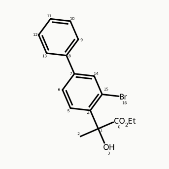 CCOC(=O)C(C)(O)c1ccc(-c2ccccc2)cc1Br